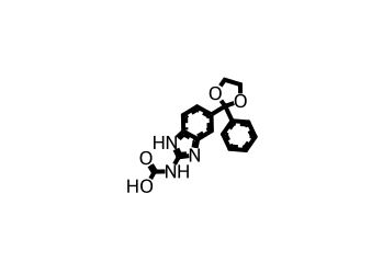 O=C(O)Nc1nc2cc(C3(c4ccccc4)OCCO3)ccc2[nH]1